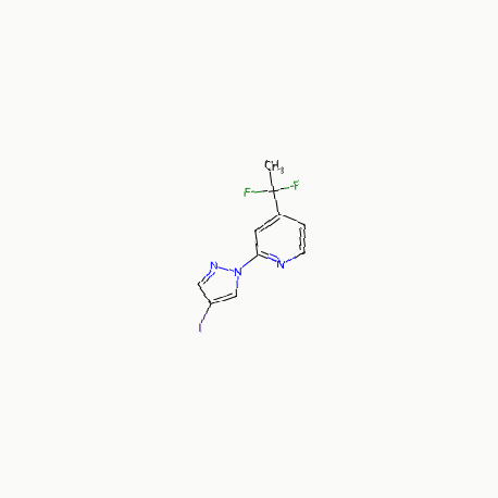 CC(F)(F)c1ccnc(-n2cc(I)cn2)c1